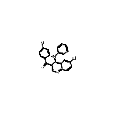 O=C(c1ccc(Cl)cc1)c1cnc2ccc(Cl)cc2c1Nc1cc[c]cc1